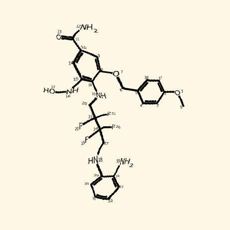 COc1ccc(COc2cc(C(N)=O)cc(NO)c2NCC(F)(F)C(F)(F)CNc2ccccc2N)cc1